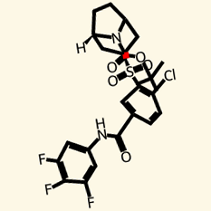 CC(C)(C)OC(=O)N1C2CC[C@H]1C[C@H](S(=O)(=O)c1cc(C(=O)Nc3cc(F)c(F)c(F)c3)ccc1Cl)C2